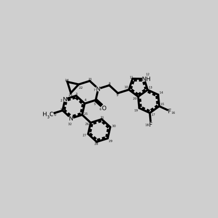 Cc1ncc(C(=O)N(CCc2c[nH]c3cc(F)c(F)cc23)CC2CC2)c(-c2ccccc2)n1